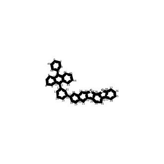 c1ccc(-c2c3ccccc3c(-c3cccc(-c4ccc5cc6c(cc5c4)sc4c6ccc5c6ccccc6sc54)c3)c3ccccc23)cc1